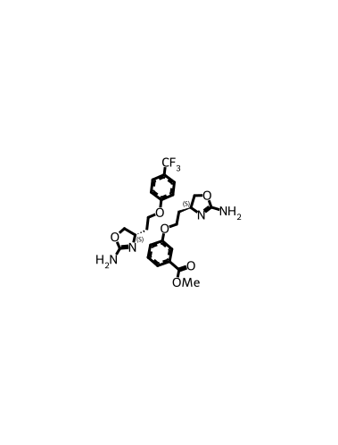 COC(=O)c1cccc(OCC[C@H]2COC(N)=N2)c1.NC1=N[C@@H](CCOc2ccc(C(F)(F)F)cc2)CO1